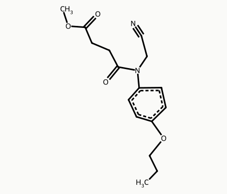 CCCOc1ccc(N(CC#N)C(=O)CCC(=O)OC)cc1